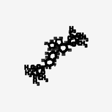 CC1(C)OB(c2ccc3cc(-c4ccc(B5OC(C)(C)C(C)(C)O5)c5c4C4(CCCC4)CC5)ccc3c2)OC1(C)C